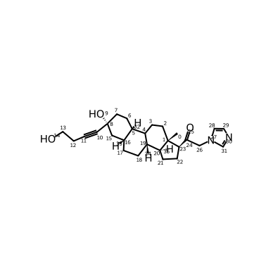 C[C@]12CCC3[C@H]4CC[C@](O)(C#CCCO)C[C@H]4CC[C@H]3[C@@H]1CC[C@@H]2C(=O)Cn1ccnc1